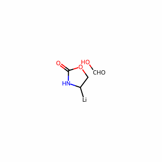 O=CO.[Li][CH]1COC(=O)N1